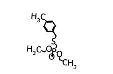 CCOP(=O)(CSCc1ccc(C)cc1)OCC